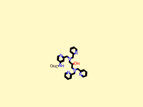 O=CNc1ccnc(CN(Cc2ccccn2)CC(O)CN(Cc2ccccn2)Cc2ccccn2)c1